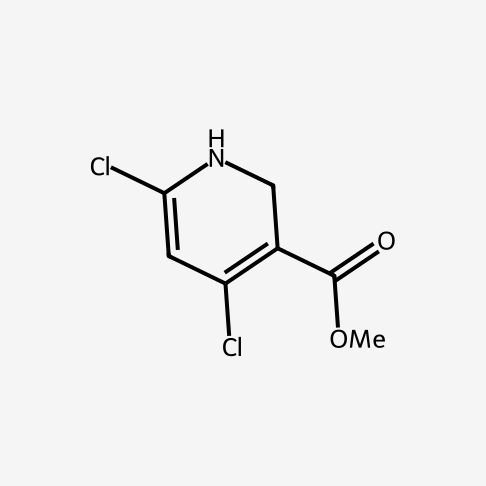 COC(=O)C1=C(Cl)C=C(Cl)NC1